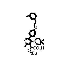 Cc1cccc(CCOc2ccc(-c3cnc(C)c(C(OC(C)(C)C)C(=O)O)c3N3CCC(C)(C)CC3)cc2)c1